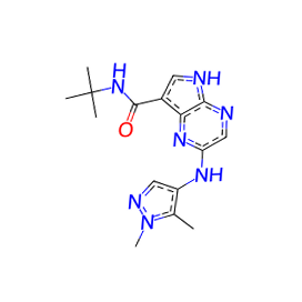 Cc1c(Nc2cnc3[nH]cc(C(=O)NC(C)(C)C)c3n2)cnn1C